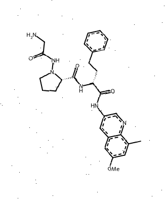 COc1cc(C)c2ncc(NC(=O)[C@@H](CCc3ccccc3)NC(=O)[C@@H]3CCCN3NC(=O)CN)cc2c1